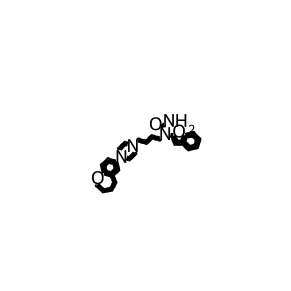 NC(=O)N(CCCCN1CCN(c2ccc3c(c2)CCCCO3)CC1)c1cc2ccccc2o1